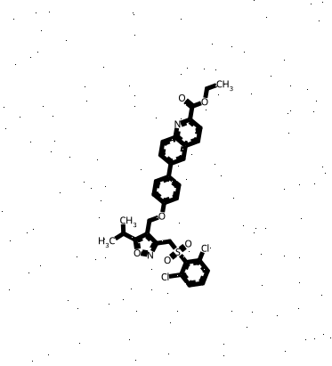 CCOC(=O)c1ccc2cc(-c3ccc(OCc4c(CS(=O)(=O)c5c(Cl)cccc5Cl)noc4C(C)C)cc3)ccc2n1